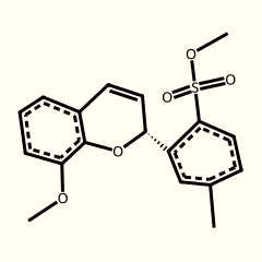 COc1cccc2c1O[C@@H](c1cc(C)ccc1S(=O)(=O)OC)C=C2